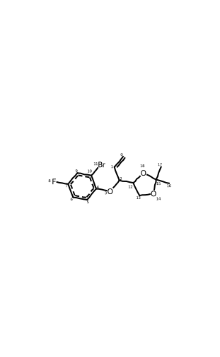 C=CC(Oc1ccc(F)cc1Br)C1COC(C)(C)O1